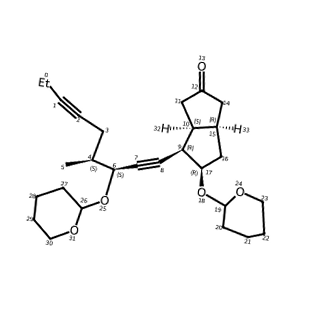 CCC#CC[C@H](C)[C@@H](C#C[C@H]1[C@H]2CC(=O)C[C@H]2C[C@H]1OC1CCCCO1)OC1CCCCO1